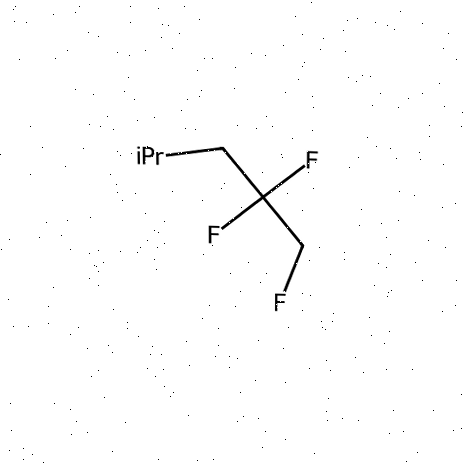 CC(C)CC(F)(F)CF